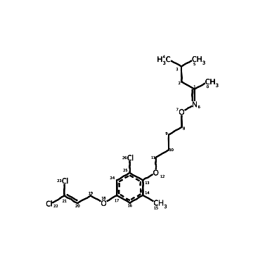 CC(CC(C)C)=NOCCCCOc1c(C)cc(OCC=C(Cl)Cl)cc1Cl